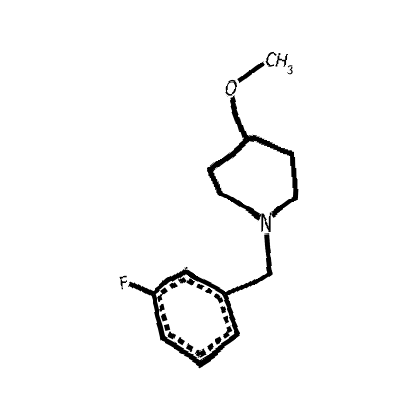 COC1CCN(Cc2[c]c(F)ccc2)CC1